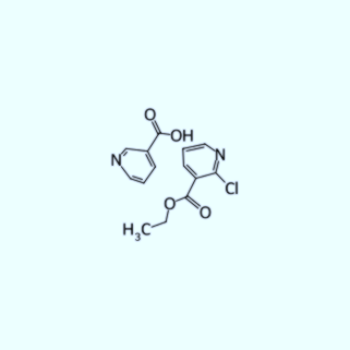 CCOC(=O)c1cccnc1Cl.O=C(O)c1cccnc1